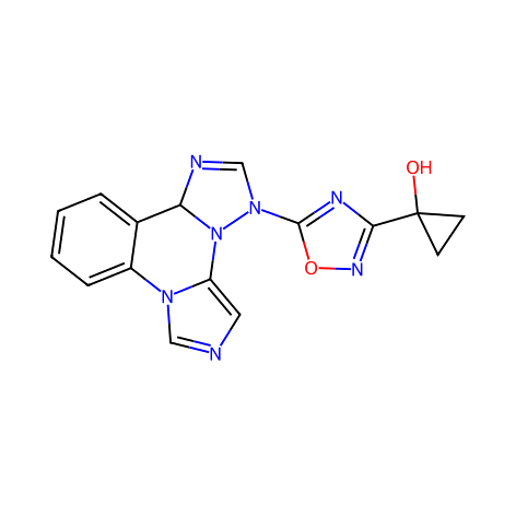 OC1(c2noc(N3C=NC4c5ccccc5-n5cncc5N43)n2)CC1